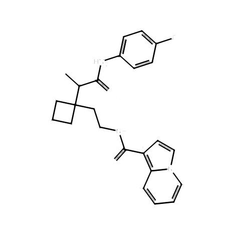 CC(C(=O)Nc1ccc(F)cc1)C1(CCNC(=O)c2ccn3ccccc23)CCC1